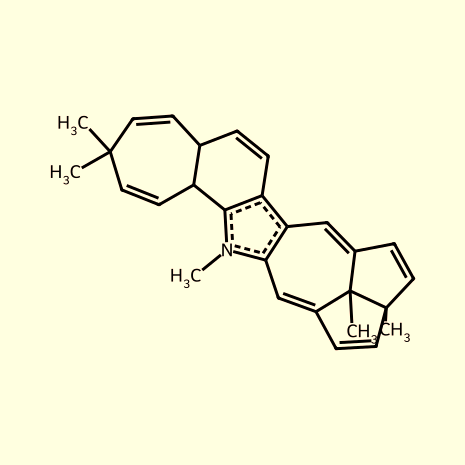 Cn1c2c(c3c1C1C=CC(C)(C)C=CC1C=C3)C=C1C=CC3(C)C=CC(=C2)C13C